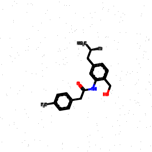 CC[C@@H](Cc1ccc(CO)c(NC(=O)Cc2ccc(C(F)(F)F)cc2)c1)C(=O)O